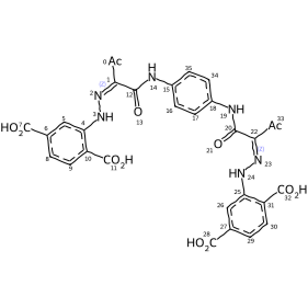 CC(=O)/C(=N/Nc1cc(C(=O)O)ccc1C(=O)O)C(=O)Nc1ccc(NC(=O)/C(=N\Nc2cc(C(=O)O)ccc2C(=O)O)C(C)=O)cc1